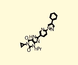 CCCn1c(=O)n(C2CC2)c(=O)c2[nH]c(-c3ccc(-n4cc(-c5ccccc5)cn4)nc3)nc21